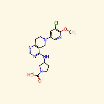 COc1ncc(N2CCc3ncnc(N[C@H]4CCN(C(=O)O)C4)c3C2)cc1Cl